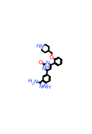 Nc1n[nH]c2ccc(-c3cc(-c4ccccc4OCC4CCNCC4)[nH]c(=O)n3)cc12